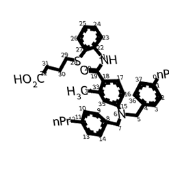 CCCc1ccc(CN(Cc2ccc(CCC)cc2)c2ccc(C(=O)Nc3ccccc3SCCCC(=O)O)c(C)c2)cc1